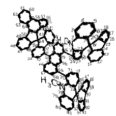 CN1c2ccccc2C2(c3ccccc3-c3ccccc32)c2cccc(-c3cccc4c(-c5cccc6c5-c5ccccc5C65c6ccccc6-c6c5c5ccccc5c5ccccc65)c5cccc(-c6cccc7c6N(C)c6ccccc6C76c7ccccc7-c7ccccc76)c5cc34)c21